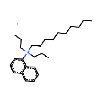 CCCCCCCCCC[N+](CCC)(CCC)c1cccc2ccccc12.[Cl-]